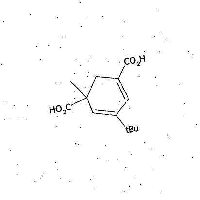 CC(C)(C)C1=CC(C)(C(=O)O)CC(C(=O)O)=C1